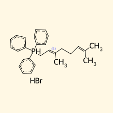 Br.CC(C)=CCC/C(C)=C/C[PH](c1ccccc1)(c1ccccc1)c1ccccc1